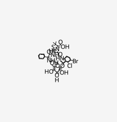 CC1(C)S[C@@H]2[C@H](NC(=O)[C@H](N)c3ccccc3)C(=O)N2[C@H]1C(=O)O.OC[C@H]1O[C@@H](Oc2c[nH]c3ccc(Br)c(Cl)c23)[C@H](O)[C@@H](O)[C@H]1O